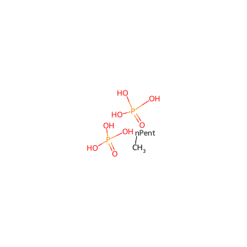 CCCCCC.O=P(O)(O)O.O=P(O)(O)O